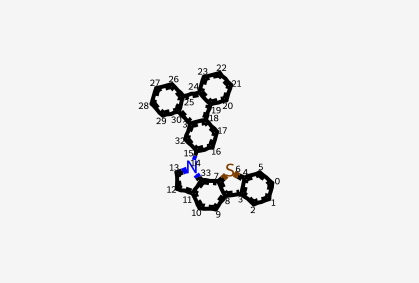 c1ccc2c(c1)sc1c2ccc2ccn(-c3ccc4c5ccccc5c5ccccc5c4c3)c21